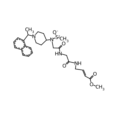 COC(=O)/C=C/CNC(=O)CNC(=O)CN(C1CCN(C(C)c2cccc3ccccc23)CC1)[S+](C)[O-]